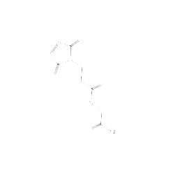 NC(=O)CNC(=O)CCN1C(=O)C=CC1=O